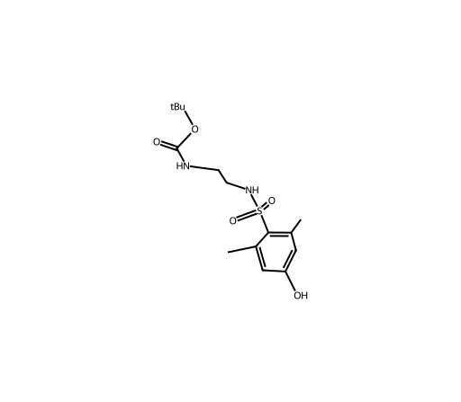 Cc1cc(O)cc(C)c1S(=O)(=O)NCCNC(=O)OC(C)(C)C